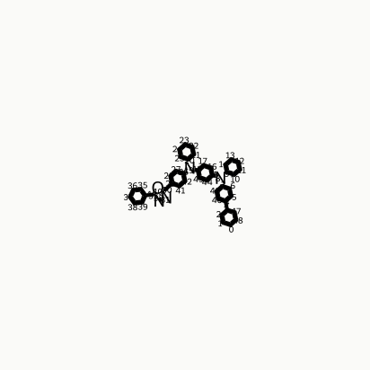 c1ccc(-c2ccc(N(c3ccccc3)c3ccc(N(c4ccccc4)c4ccc(-c5nnc(-c6ccccc6)o5)cc4)cc3)cc2)cc1